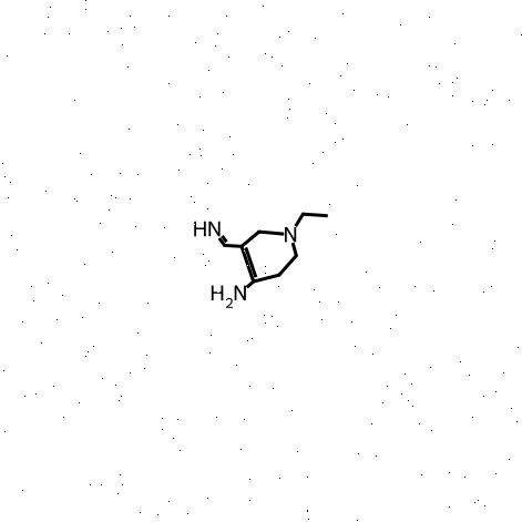 CCN1CCC(N)=C(C=N)C1